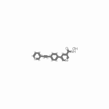 O=C(NO)c1cncc(-c2ccc(C#Cc3cccnc3)cc2)c1